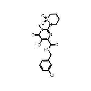 Cn1c(N2CCCCS2(=O)=O)nc(C(=O)NCc2cccc(Cl)c2)c(O)c1=O